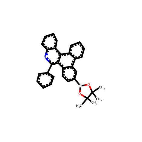 CC1(C)OB(c2ccc3c(c2)c2ccccc2c2c4ccccc4nc(-c4ccccc4)c32)OC1(C)C